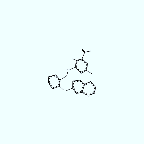 CC(=O)c1cc(Cl)cc(NCc2ccccc2Sc2ccc3cccnc3c2)c1O